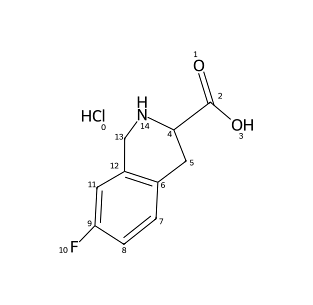 Cl.O=C(O)C1Cc2ccc(F)cc2CN1